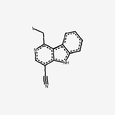 N#Cc1cnc(CI)c2c1[nH]c1ccccc12